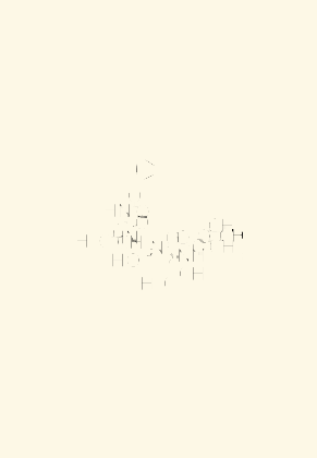 CC(C)C[C@H](NC(=O)OCc1ccccc1)C(=O)NC1CN(C(=O)[C@H](CC(C)C)NC(=O)OOC(C)(C)C)CC1O